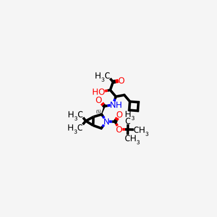 CC(=O)C(O)C(CC1CCC1)NC(=O)[C@@H]1C2C(CN1C(=O)OC(C)(C)C)C2(C)C